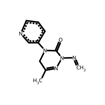 C=NN1N=C(C)CN(c2cccnc2)C1=O